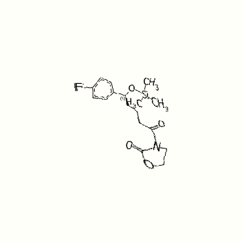 C[Si](C)(C)O[C@@H](CCCC(=O)N1CCOC1=O)c1ccc(F)cc1